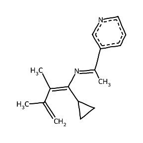 C=C(C)/C(C)=C(/N=C(\C)c1cccnc1)C1CC1